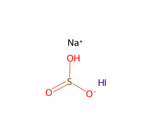 I.O=S([O-])O.[Na+]